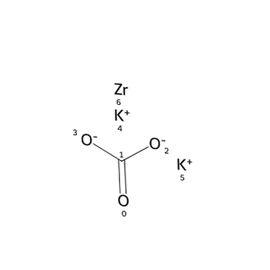 O=C([O-])[O-].[K+].[K+].[Zr]